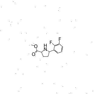 COC(=O)C1CCC(c2cccc(F)c2F)N1